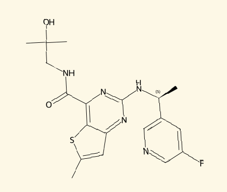 Cc1cc2nc(N[C@@H](C)c3cncc(F)c3)nc(C(=O)NCC(C)(C)O)c2s1